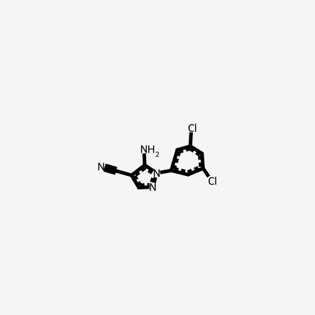 N#Cc1cnn(-c2cc(Cl)cc(Cl)c2)c1N